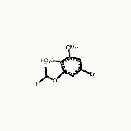 COc1cc(Br)cc(OC(F)F)c1C(=O)O